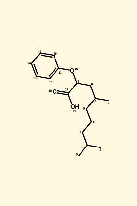 CC(C)CCCC(C)CC(Oc1ccccc1)C(=O)O